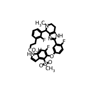 CN1CCc2[nH]c(-c3cc(Oc4c(F)cc5[nH]ccc5c4S(C)(=O)=O)ccc3F)nc2C1c1cccc(CCC(=O)O)c1F